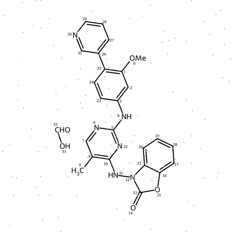 COc1cc(Nc2ncc(C)c(Nn3c(=O)oc4ccccc43)n2)ccc1-c1cccnc1.O=CO